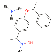 CC(=O)N(O)C(C)c1ccc(OC(C)c2ccccc2)cc1.CCN(CC)CC